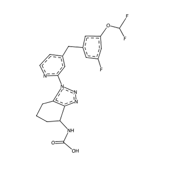 O=C(O)NC1CCCc2c1nnn2-c1cc(Cc2cc(F)cc(OC(F)F)c2)ccn1